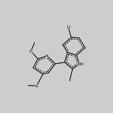 COc1cc(OC)nc(-c2c(C)[nH]c3ccc(Cl)cc23)c1